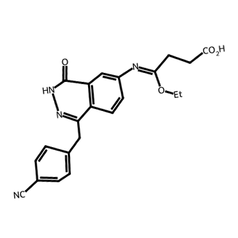 CCOC(CCC(=O)O)=Nc1ccc2c(Cc3ccc(C#N)cc3)n[nH]c(=O)c2c1